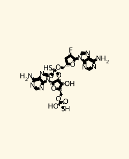 Nc1ncnc2c1ncn2C1O[C@H](COP(=O)(S)O[C@@H]2[C@H](O)[C@@H](COP(=O)(O)S)O[C@H]2n2cnc3c(N)ncnc32)C[C@H]1F